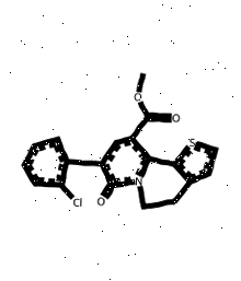 COC(=O)c1cc(-c2ccccc2Cl)c(=O)n2c1-c1sccc1CC2